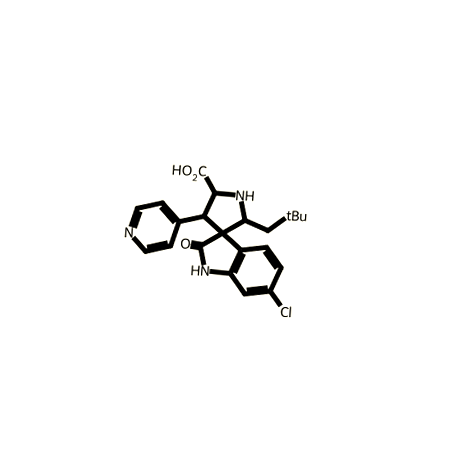 CC(C)(C)CC1NC(C(=O)O)C(c2ccncc2)C12C(=O)Nc1cc(Cl)ccc12